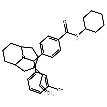 C=CCN1CCC2CCCC(C1)N2C(c1ccc(C(=O)NC2CCCCC2)cc1)c1cccc(O)c1